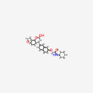 O=C(O)CC(c1ccc2c(c1)CCO2)c1ccc2ccc(OCC(=O)NC3CCCCC3)cc2c1